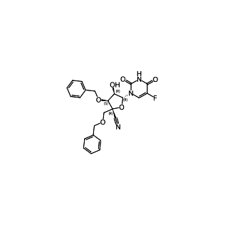 N#C[C@]1(COCc2ccccc2)O[C@@H](n2cc(F)c(=O)[nH]c2=O)[C@H](O)[C@@H]1OCc1ccccc1